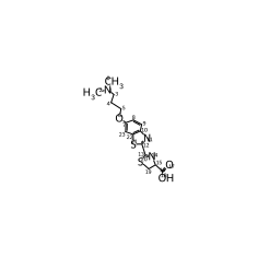 CN(C)CCCOc1ccc2nc(C3=NC(C(=O)O)CS3)sc2c1